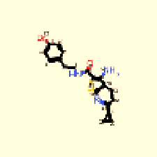 Nc1c(C(=O)NCCc2ccc(Br)cc2)sc2nc(C3CC3)ccc12